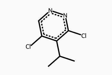 CC(C)c1c(Cl)cnnc1Cl